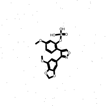 COc1ccc(-c2conc2-c2cc(OC)c3c(c2)OCO3)c(OP(=O)(O)O)c1